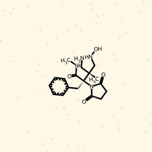 CNC(=O)[C@](Cc1ccccc1)(N1C(=O)CCC1=O)[C@](C)(CN)CNO